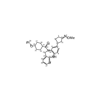 CO/N=C1/CCC(c2ccc3c(c2)N(C(=O)C2CCC(OC(C)C)CC2)Cc2cccnc2N3)C1